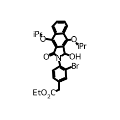 CCOC(=O)Cc1ccc(N2C(=O)c3c(c(OC(C)C)c4ccccc4c3OC(C)C)C2O)c(Br)c1